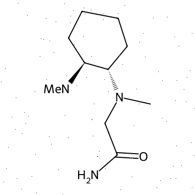 CN[C@H]1CCCC[C@@H]1N(C)CC(N)=O